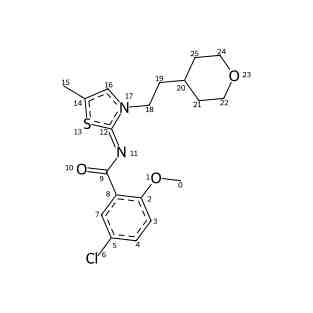 COc1ccc(Cl)cc1C(=O)/N=c1\sc(C)cn1CCC1CCOCC1